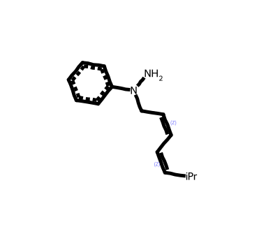 CC(C)/C=C\C=C/CN(N)c1ccccc1